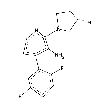 Nc1c(-c2cc(F)ccc2F)ccnc1N1CC[C@H](I)C1